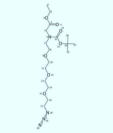 CCOC(=O)CN(CCOCCOCCOCCN=[N+]=[N-])C(=O)OC(C)(C)C